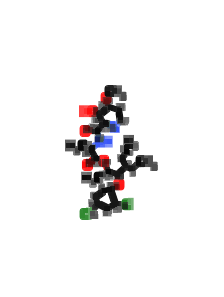 CCC(CC)[C@@H](Oc1ccc(Cl)cc1Cl)[C@H](C)OC(=O)[C@H](C)NC(=O)c1nccc(OC)c1O